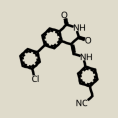 N#CCc1ccc(NC=C2C(=O)NC(=O)c3ccc(-c4cccc(Cl)c4)cc32)cc1